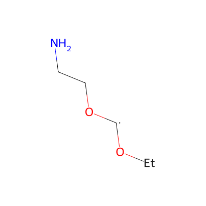 CCO[CH]OCCN